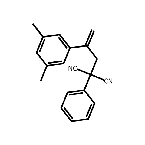 C=C(CC(C#N)(C#N)c1ccccc1)c1cc(C)cc(C)c1